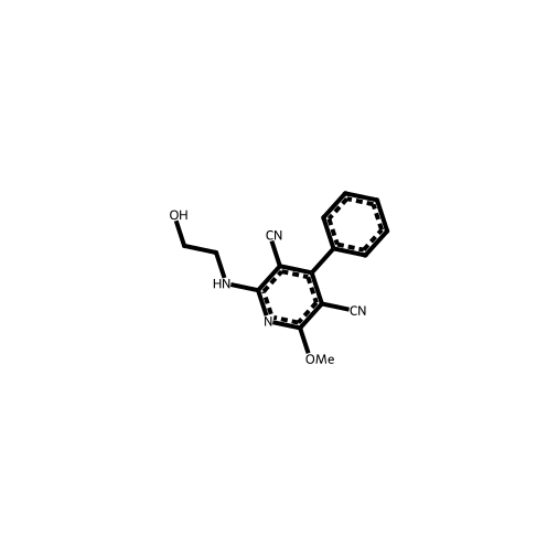 COc1nc(NCCO)c(C#N)c(-c2ccccc2)c1C#N